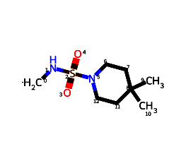 [CH2]NS(=O)(=O)N1CCC(C)(C)CC1